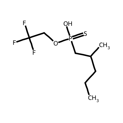 CCCC(C)CP(O)(=S)OCC(F)(F)F